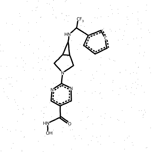 O=C(NO)c1cnc(N2CC3C(C2)C3NC(c2ccccc2)C(F)(F)F)nc1